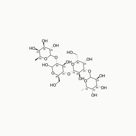 C[C@@H]1OC(O[C@H]2[C@@H](O)[C@@H](CO)O[C@@H](O[C@H]3[C@H](O)[C@@H](OC4O[C@@H](C)[C@@H](O)[C@@H](O)[C@@H]4O)C(O)O[C@@H]3CO)[C@@H]2O)[C@@H](O)[C@H](O)[C@@H]1O